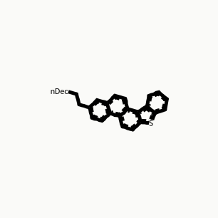 CCCCCCCCCCCCc1ccc2c(ccc3c2ccc2sc4ccccc4c23)c1